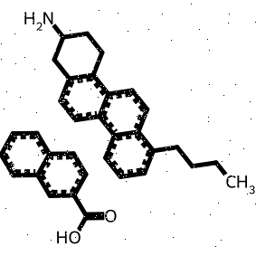 CCCCc1cccc2c1ccc1c3c(ccc12)CC(N)CC3.O=C(O)c1ccc2ccccc2c1